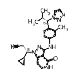 Cc1cc(Nc2nn([C@@H](CC#N)C3CC3)c3cc[nH]c(=O)c23)ccc1[C@H](C(C)C)n1ccnn1